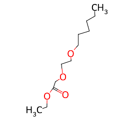 CCCCCCOCCOCC(=O)OCC